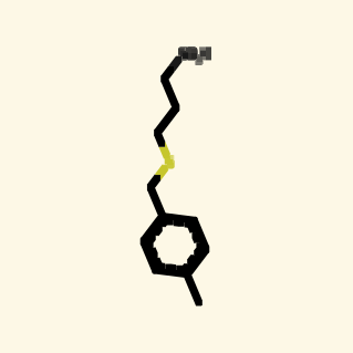 Cc1ccc(CSCCCS(=O)(=O)O)cc1